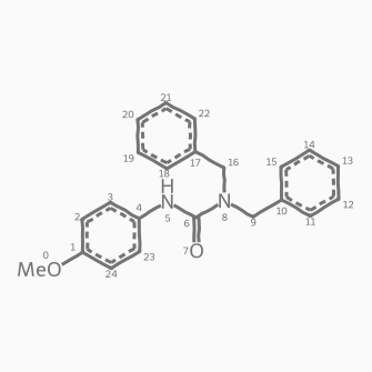 COc1ccc(NC(=O)N(Cc2ccccc2)Cc2ccccc2)cc1